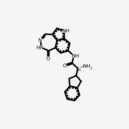 N[C@@H](C(=O)Nc1cc2c3c(c[nH]c3c1)C=NNC2=O)C1Cc2ccccc2C1